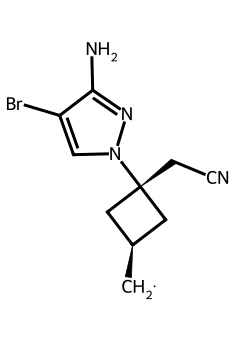 [CH2][C@H]1C[C@](CC#N)(n2cc(Br)c(N)n2)C1